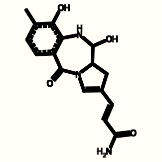 Cc1ccc2c(c1O)NC(O)C1CC(C=CC(N)=O)=CN1C2=O